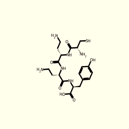 NCC[C@H](NC(=O)[C@H](CCN)NC(=O)[C@@H](N)CS)C(=O)N[C@@H](Cc1ccc(O)cc1)C(=O)O